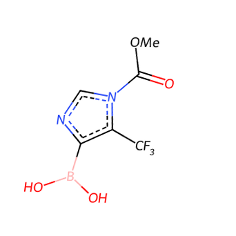 COC(=O)n1cnc(B(O)O)c1C(F)(F)F